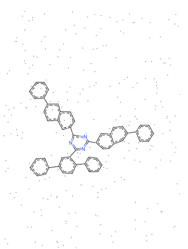 c1ccc(-c2ccc(-c3ccccc3)c(-c3nc(-c4ccc5cc(-c6ccccc6)ccc5c4)nc(-c4ccc5cc(-c6ccccc6)ccc5c4)n3)c2)cc1